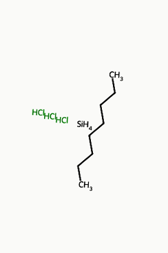 CCCCCCCC.Cl.Cl.Cl.[SiH4]